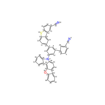 N#Cc1cccc(-c2cc(-c3ccc4sc5ccc(C#N)cc5c4c3)cc(-n3c4ccccc4c4c5oc6ccccc6c5ccc43)c2)c1